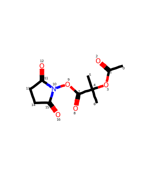 CC(=O)OC(C)(C)C(=O)ON1C(=O)CCC1=O